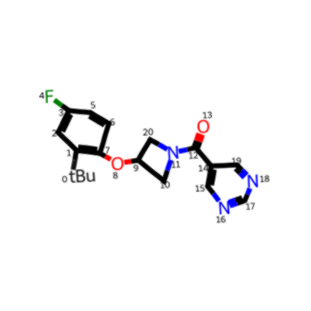 CC(C)(C)c1cc(F)ccc1OC1CN(C(=O)c2cncnc2)C1